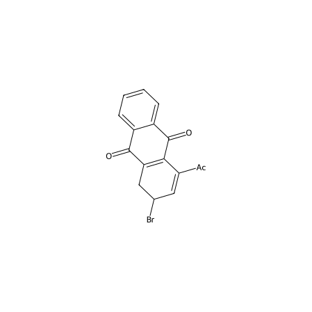 CC(=O)C1=CC(Br)CC2=C1C(=O)c1ccccc1C2=O